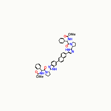 COC(=O)N[C@H](C(=O)N1CCC[C@H]1c1ncc(-c2ccc3cc(-c4ccc5nc([C@@H]6CCCN6C(=O)[C@@H](NC(=O)OC)C6C=CCC=C6)[nH]c5c4)ccc3c2)[nH]1)C1C=CCC=C1